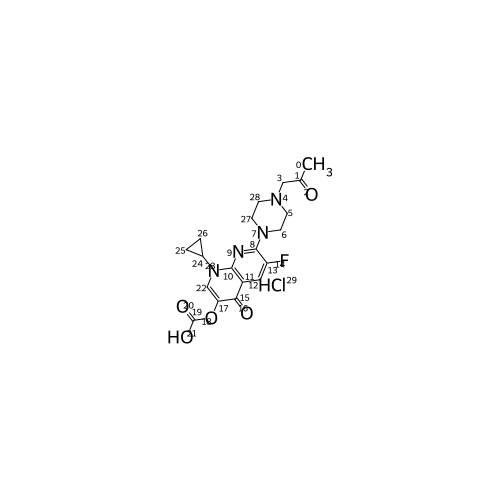 CC(=O)CN1CCN(c2nc3c(cc2F)c(=O)c(OC(=O)O)cn3C2CC2)CC1.Cl